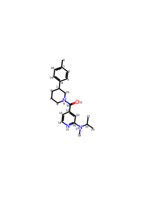 Cc1ccc(C2CCCN(C(=O)c3ccnc(N(C)C(C)C)c3)C2)cc1